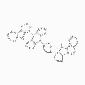 CC1(C)c2c(-c3ccc(-c4c5ccccc5c(-c5cccc6c5oc5ccccc56)c5ccccc45)cc3)cccc2-c2ccc3ccccc3c21